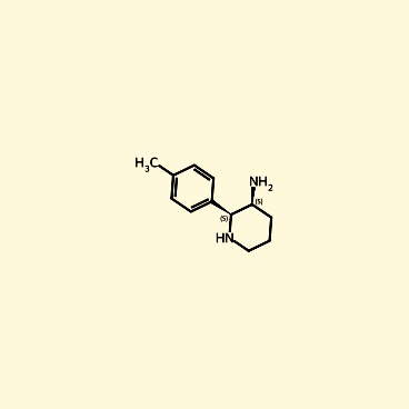 Cc1ccc([C@@H]2NCCC[C@@H]2N)cc1